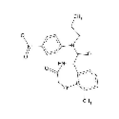 CCCN(C(=O)C1NC(=O)COc2c(C)cccc21)c1ccc([N+](=O)[O-])cc1